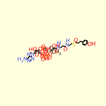 CC(C)(COP(=O)(O)OP(=O)(O)OC[C@H]1O[C@@H](n2cnc3c(N)ncnc32)[C@H](O)[C@@H]1OP(=O)(O)O)[C@@H](O)C(=O)NCCC(=O)NCCSC(=O)CCc1ccc(O)cc1